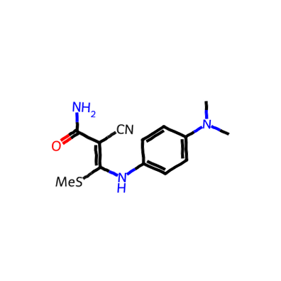 CSC(Nc1ccc(N(C)C)cc1)=C(C#N)C(N)=O